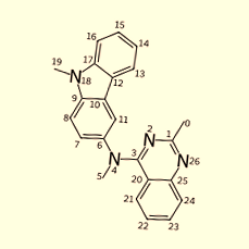 Cc1nc(N(C)c2ccc3c(c2)c2ccccc2n3C)c2ccccc2n1